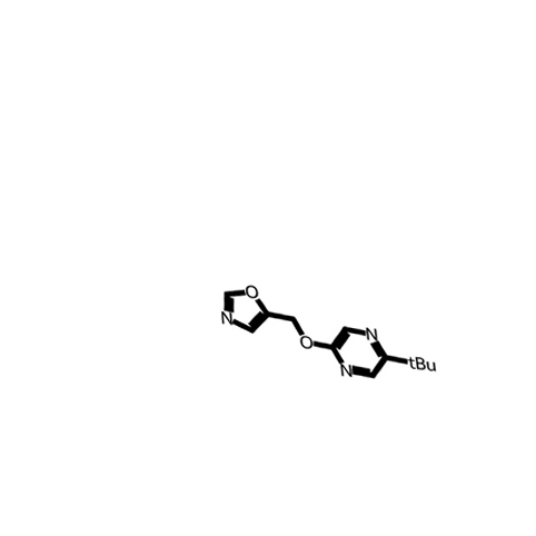 CC(C)(C)c1cnc(OCc2cnco2)cn1